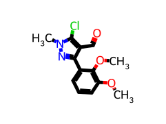 COc1cccc(-c2nn(C)c(Cl)c2C=O)c1OC